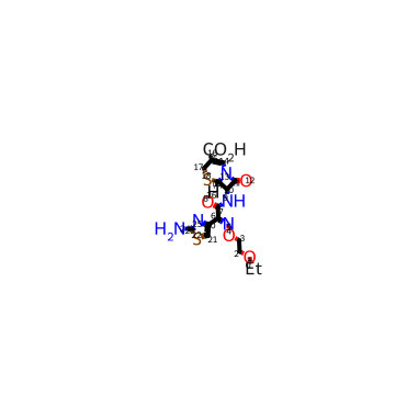 CCOCCON=C(C(=O)NC1C(=O)N2C=C(C(=O)O)CS[C@H]12)c1csc(N)n1